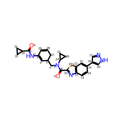 O=C(NC1=CC(CN(C(=O)c2nc3ccc(-c4cn[nH]c4)cc3s2)C2CC2)CC=C1)C1CC1